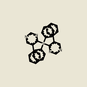 c1ccc([Si](c2ccccc2)(c2ncncc2-c2cccnc2)c2ncncc2-c2cccnc2)cc1